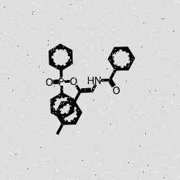 Cc1ccc(C(=CNC(=O)c2ccccc2)OP(=O)(c2ccccc2)c2ccccc2)cc1